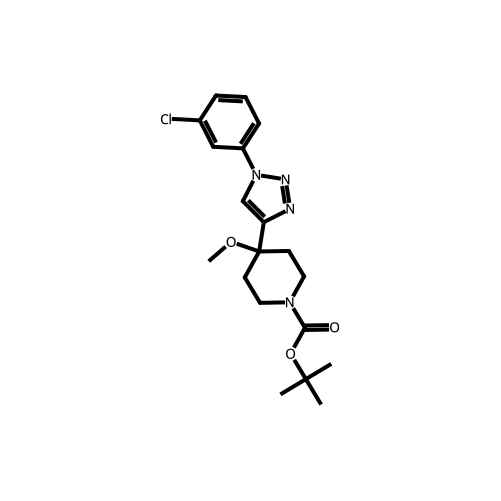 COC1(c2cn(-c3cccc(Cl)c3)nn2)CCN(C(=O)OC(C)(C)C)CC1